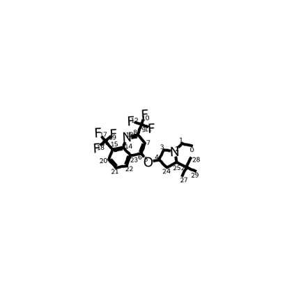 CCN1CC(Oc2cc(C(F)(F)F)nc3c(C(F)(F)F)cccc23)CC1C(C)(C)C